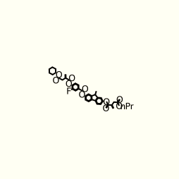 C=C(CC(=O)OCCC)C(=O)Oc1ccc2c(c1)C(C)c1cc(OC(=O)c3ccc(OC(=O)C(=C)CC(=O)OC4CCCCC4)c(F)c3)ccc1-2